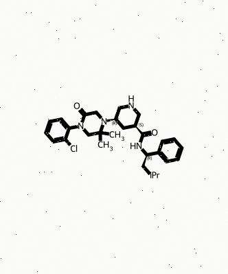 CC(C)C[C@@H](NC(=O)[C@@H]1CNC[C@H](N2CC(=O)N(c3ccccc3Cl)CC2(C)C)C1)c1ccccc1